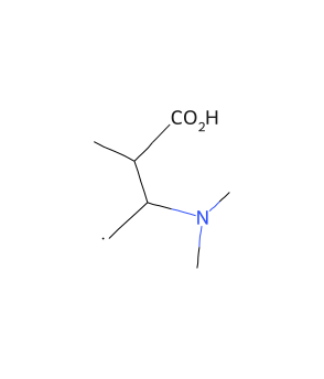 [CH2]C(C(C)C(=O)O)N(C)C